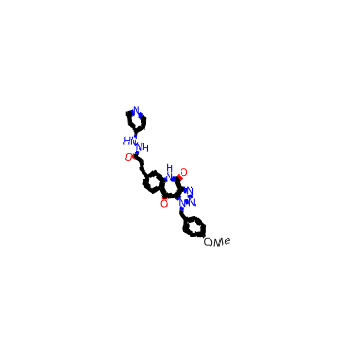 COc1ccc(Cn2nnc3c(=O)[nH]c4cc(CCC(=O)NNc5ccncc5)ccc4c(=O)c32)cc1